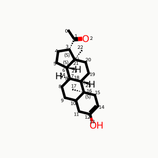 CC(=O)[C@H]1CC[C@H]2[C@@H]3CCC4CC(O)=CC[C@]4(C)[C@H]3CC[C@]12C